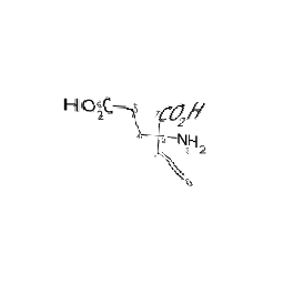 C=CC(N)([CH][CH]C(=O)O)C(=O)O